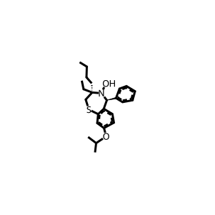 CCCC[C@@]1(CC)CSc2cc(OC(C)C)ccc2[C@H](c2ccccc2)N1O